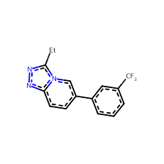 CCc1nnc2ccc(-c3cccc(C(F)(F)F)c3)cn12